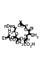 C=C(C)C(=O)OCCCCCCCCCCCC.C=C(CC)C(=O)O.C=C(CC=CC(=O)O)C(=O)OCC1CO1